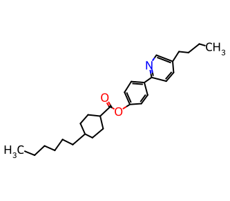 CCCCCCC1CCC(C(=O)Oc2ccc(-c3ccc(CCCC)cn3)cc2)CC1